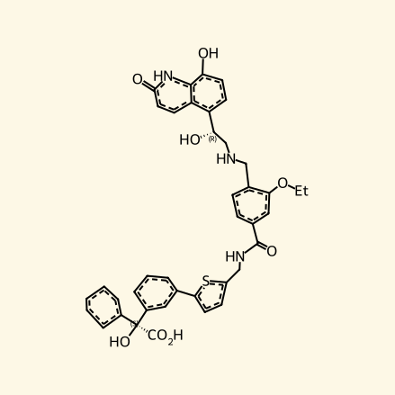 CCOc1cc(C(=O)NCc2ccc(-c3cccc([C@](O)(C(=O)O)c4ccccc4)c3)s2)ccc1CNC[C@H](O)c1ccc(O)c2[nH]c(=O)ccc12